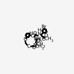 C[C@H]1C(=O)N[C@H]([C@H](O)CNC2CC(C)(C)Oc3ccc(Br)cc32)Cc2cccc(c2)OCCCCCC(=O)N1C